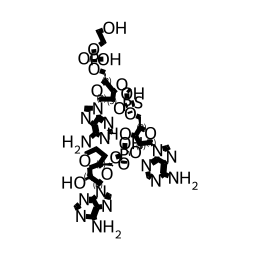 COC1[C@@H](COP(=O)(O)OCCO)O[C@@H](n2cnc3c(N)ncnc32)[C@H]1OP(O)(=S)OC[C@H]1O[C@@H](n2cnc3c(N)ncnc32)[C@@H](OP(=O)(O)OC[C@]23CCCOC2[C@H](O)[C@H](n2cnc4c(N)ncnc42)O3)C1O